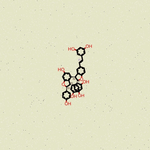 Oc1ccc([C@H]2Oc3ccc(/C=C/c4cc(O)cc(O)c4)cc3[C@@H]2c2cc(O)cc3c2[C@H](c2cc(O)cc(O)c2)[C@@H](c2ccc(O)cc2)O3)cc1